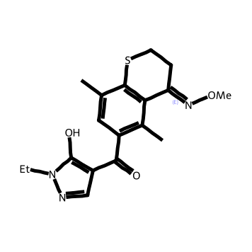 CCn1ncc(C(=O)c2cc(C)c3c(c2C)/C(=N/OC)CCS3)c1O